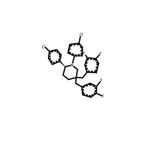 Fc1ccc(CC2(Cc3ccc(F)c(F)c3)CC[C@@H](c3ccc(Cl)cc3)N(c3ccc(Cl)cc3)C2)cc1F